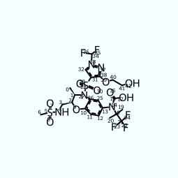 C[C@@H]1[C@H](CNS(C)(=O)=O)Oc2ccc(N(C(=O)O)C(C)(C)C(F)(F)F)cc2N1S(=O)(=O)c1cn(C(F)F)nc1OCCO